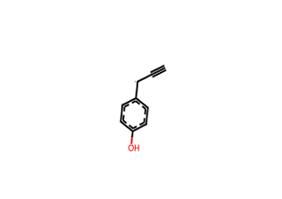 C#C[CH]c1ccc(O)cc1